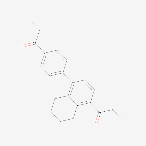 O=C(CBr)c1ccc(-c2ccc(C(=O)CBr)c3c2CCCC3)cc1